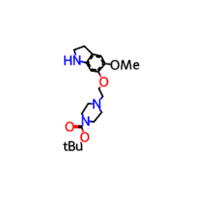 COc1cc2c(cc1OCCN1CCN(C(=O)OC(C)(C)C)CC1)NCC2